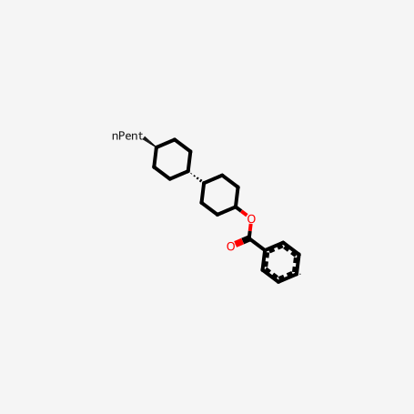 CCCCC[C@H]1CC[C@H](C2CCC(OC(=O)c3cc[c]cc3)CC2)CC1